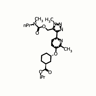 CCCN(C)C(=O)OCc1c(-c2ccc(O[C@H]3CCC[C@H](C(=O)OC(C)C)C3)c(C)n2)nnn1C